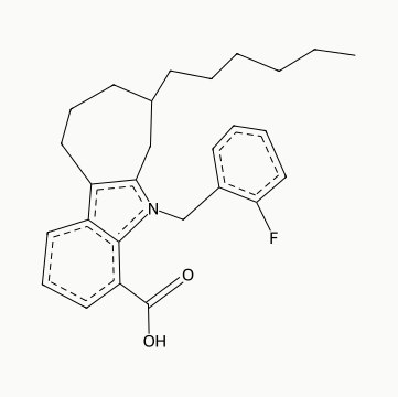 CCCCCCC1CCCc2c(n(Cc3ccccc3F)c3c(C(=O)O)cccc23)C1